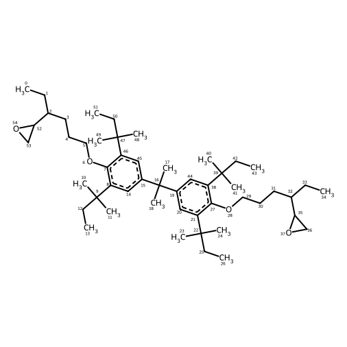 CCC(CCCOc1c(C(C)(C)CC)cc(C(C)(C)c2cc(C(C)(C)CC)c(OCCCC(CC)C3CO3)c(C(C)(C)CC)c2)cc1C(C)(C)CC)C1CO1